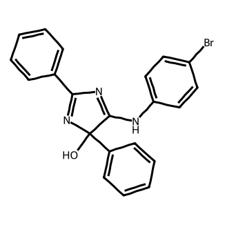 OC1(c2ccccc2)N=C(c2ccccc2)N=C1Nc1ccc(Br)cc1